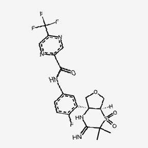 CC1(C)C(=N)N[C@@]2(c3cc(NC(=O)c4cnc(C(F)(F)F)cn4)ccc3F)COC[C@H]2S1(=O)=O